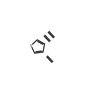 C=C.C=C.C=C.c1ccsc1